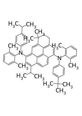 Cc1cccc(C)c1N(c1ccc(C(C)C)cc1)c1cc(C(C)C)c2ccc3c(N(c4ccc(C(C)(C)C)cc4)c4c(C)cccc4C)cc4c5c(cc1c2c35)C(C)(C)CC4